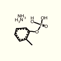 Cc1ccccc1OP(=O)(O)O.N.N